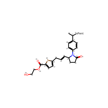 CCCCCC(C)c1ccc(N2C(=O)CCC2C=CCc2ccc(C(=O)OCCO)s2)cc1